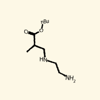 CCCCOC(=O)C(C)CNCCN